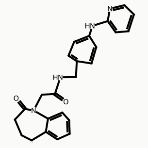 O=C(CN1C(=O)CC[C]c2ccccc21)NCc1ccc(Nc2ccccn2)cc1